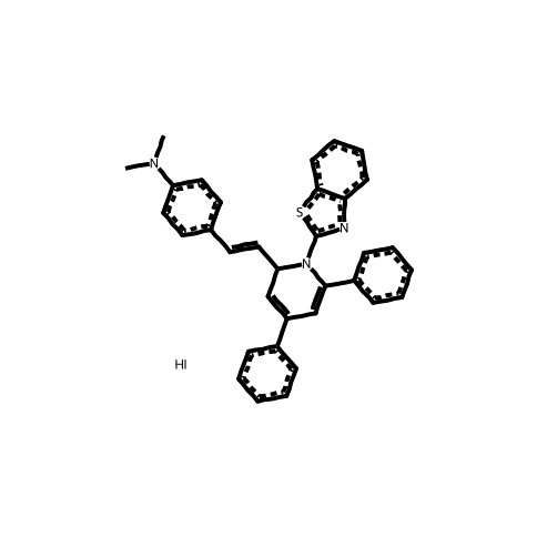 CN(C)c1ccc(/C=C/C2C=C(c3ccccc3)C=C(c3ccccc3)N2c2nc3ccccc3s2)cc1.I